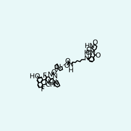 C#Cc1c(F)ccc2cc(O)cc(-c3ncc4c(N5CC6CCC(C5)N6)nc(OC[C@@]56CCCN5[C@H](COC(=O)NCCCCCCNc5cccc7c5C(=O)N(C5CCC(=O)NC5=O)C7=O)CC6)nc4c3F)c12